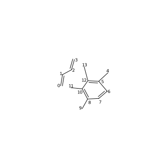 C=CC=C.Cc1ccc(C)c(C)c1C